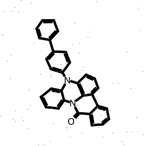 O=c1c2ccccc2c2cccc3c2n1-c1ccccc1N3c1ccc(-c2ccccc2)cc1